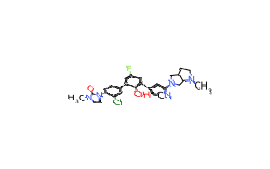 CN1CCC2CN(c3cc(-c4cc(F)cc(-c5ccc(-n6ccn(C)c6=O)c(Cl)c5)c4O)ccn3)CC21